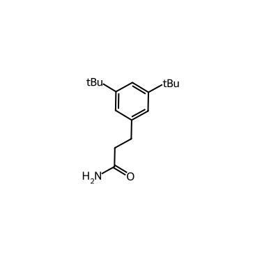 CC(C)(C)c1cc(CCC(N)=O)cc(C(C)(C)C)c1